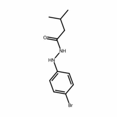 CC(C)CC(=O)NNc1ccc(Br)cc1